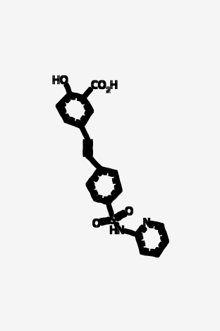 O=C(O)c1cc(C#Cc2ccc(S(=O)(=O)Nc3ccccn3)cc2)ccc1O